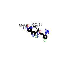 CCOC(=O)[C@H]1CCCCC(NC(=O)/C=C/c2cc(Cl)ccc2-n2cnnn2)c2cc(cnc2Cl)-c2ccc(NC(=O)OC)cc2N1